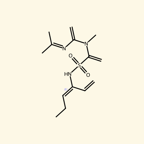 C=C/C(=C\CC)NS(=O)(=O)C(=C)N(C)C(=C)N=C(C)C